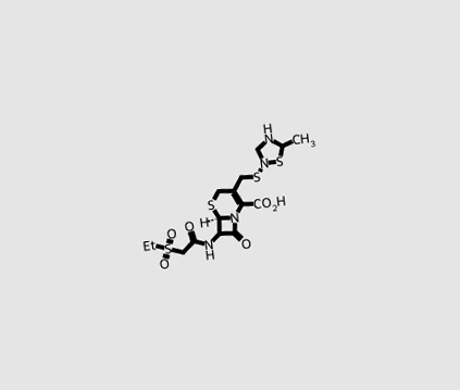 CCS(=O)(=O)CC(=O)NC1C(=O)N2C(C(=O)O)=C(CSN3CNC(C)S3)CS[C@H]12